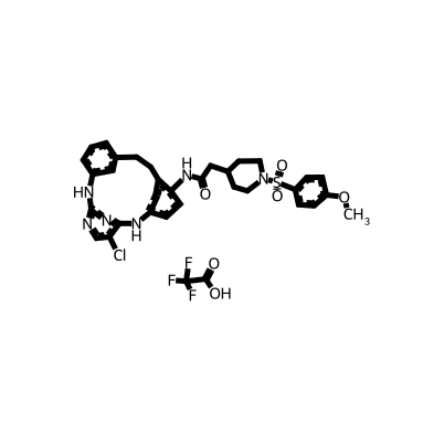 COc1ccc(S(=O)(=O)N2CCC(CC(=O)Nc3ccc4cc3CCc3cccc(c3)Nc3ncc(Cl)c(n3)N4)CC2)cc1.O=C(O)C(F)(F)F